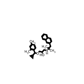 Cc1ccc(C(OC[C@H](O)CNC(C)(C)Cc2ccc3ccccc3c2)C2CC2)c(C)c1